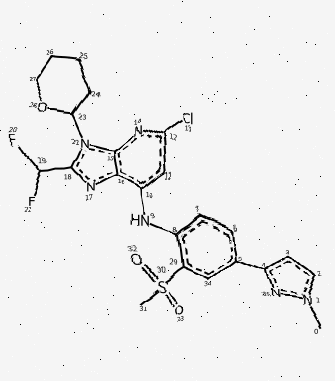 Cn1ccc(-c2ccc(Nc3cc(Cl)nc4c3nc(C(F)F)n4C3CCCCO3)c(S(C)(=O)=O)c2)n1